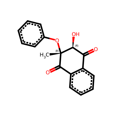 C[C@]1(Oc2ccccc2)C(=O)c2ccccc2C(=O)[C@@H]1O